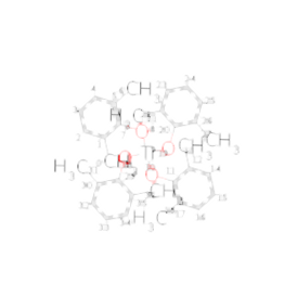 Cc1cccc(C)c1[O][Ti]([O]c1c(C)cccc1C)([O]c1c(C)cccc1C)[O]c1c(C)cccc1C